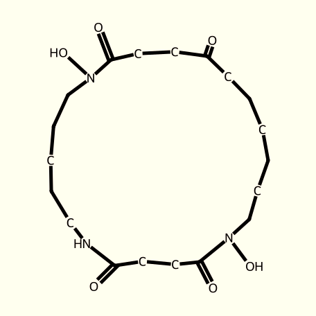 O=C1CCCCCCN(O)C(=O)CCC(=O)NCCCCCN(O)C(=O)CC1